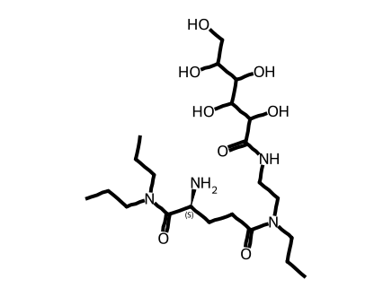 CCCN(CCNC(=O)C(O)C(O)C(O)C(O)CO)C(=O)CC[C@H](N)C(=O)N(CCC)CCC